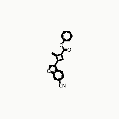 C=C1C(C(=O)Oc2ccccc2)CC1c1coc2cc(C#N)ccc12